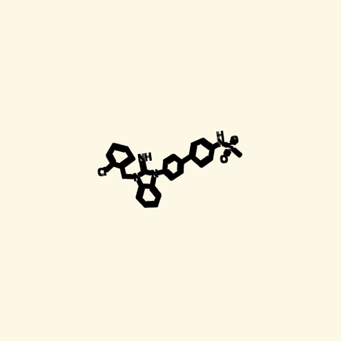 CS(=O)(=O)Nc1ccc(-c2ccc(-n3c(=N)n(Cc4ccccc4Cl)c4ccccc43)cc2)cc1